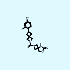 O=C1NC2(CO1)CN(C(=O)N1CC3(CC(c4ccc(C(F)(F)F)cc4F)C3)C1)C2